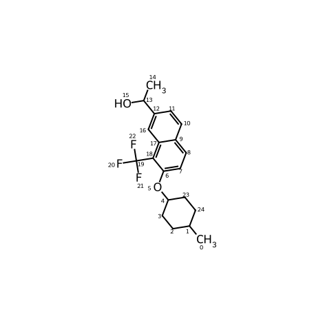 CC1CCC(Oc2ccc3ccc(C(C)O)cc3c2C(F)(F)F)CC1